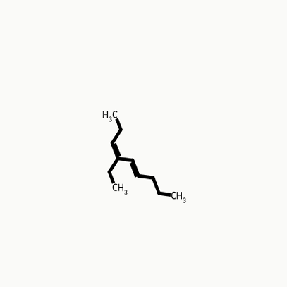 CCC=C(C=CCCC)CC